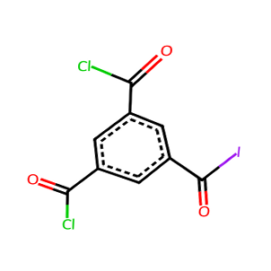 O=C(Cl)c1cc(C(=O)Cl)cc(C(=O)I)c1